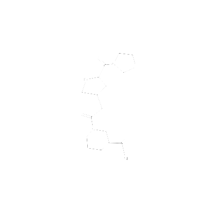 NC(=O)C1CCCN(C(=O)CC2CNC(C(=O)N3CCSC3)C2)C1